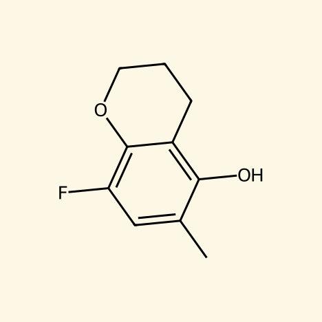 Cc1cc(F)c2c(c1O)CCCO2